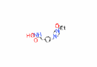 CCC(=O)N1CCN(Cc2ccc(C=CC(=O)NO)cc2)CC1